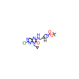 C[C@@H](C1CC1)n1c(=O)c(NCC2C3CN(C(=O)OC(C)(C)C)C[C@H]23)nc2cnc(Cl)nc21